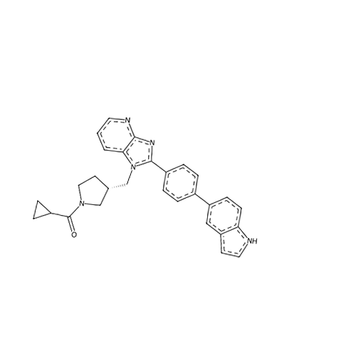 O=C(C1CC1)N1CC[C@H](Cn2c(-c3ccc(-c4ccc5[nH]ccc5c4)cc3)nc3ncccc32)C1